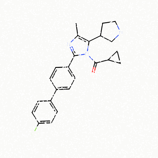 Cc1nc(-c2ccc(-c3ccc(F)cc3)cc2)n(C(=O)C2CC2)c1C1CCNC1